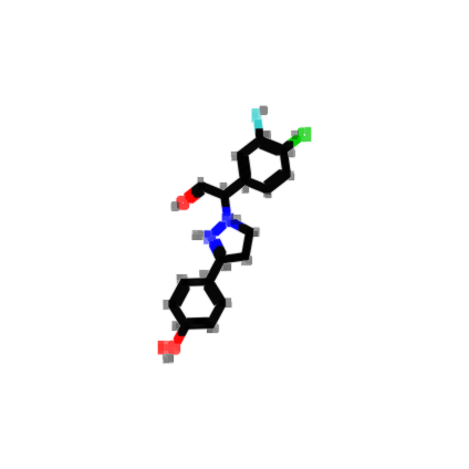 O=CC(c1ccc(Cl)c(F)c1)N1CCC(c2ccc(O)cc2)=N1